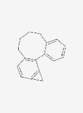 c1ccc2c(c1)CCCCc1ccc3c(c1-2)C3